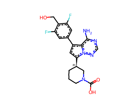 Nc1ncnn2c([C@@H]3CCCN(C(=O)O)C3)cc(-c3cc(F)c(CO)c(F)c3)c12